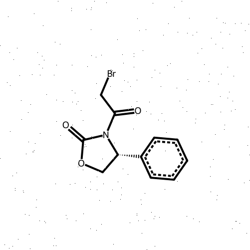 O=C(CBr)N1C(=O)OC[C@H]1c1ccccc1